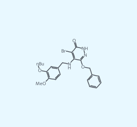 CCCCOc1cc(CNc2c(OCc3ccccc3)n[nH]c(=O)c2Br)ccc1OC